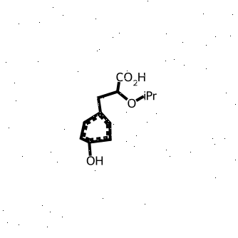 CC(C)OC(Cc1ccc(O)cc1)C(=O)O